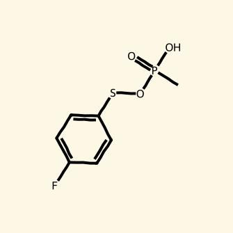 CP(=O)(O)OSc1ccc(F)cc1